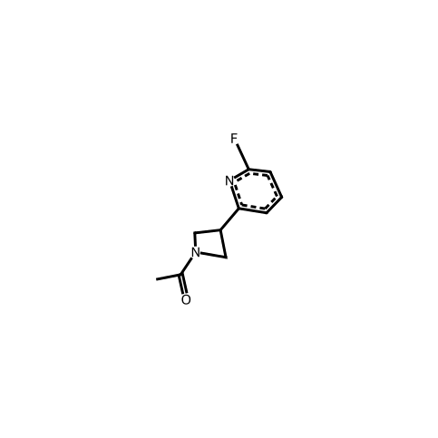 CC(=O)N1CC(c2cccc(F)n2)C1